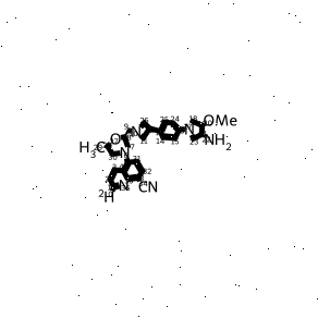 [2H]c1ccc2c(N3C[C@H](CN4CC(c5ccc(N6C[C@H](OC)[C@@H](N)C6)cc5)C4)O[C@H](C)C3)ccc(C#N)c2n1